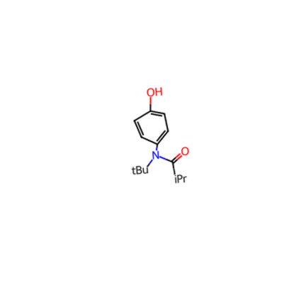 CC(C)C(=O)N(c1ccc(O)cc1)C(C)(C)C